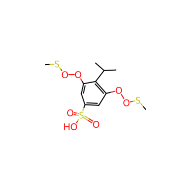 CSOOc1cc(S(=O)(=O)O)cc(OOSC)c1C(C)C